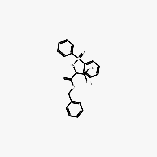 CC(C)[C@H](NP(=O)(c1ccccc1)c1ccccc1)C(=O)OCc1ccccc1